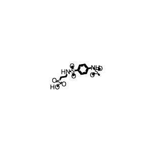 CS(=O)(=O)Nc1ccc(S(=O)(=O)NCCS(=O)(=O)O)cc1